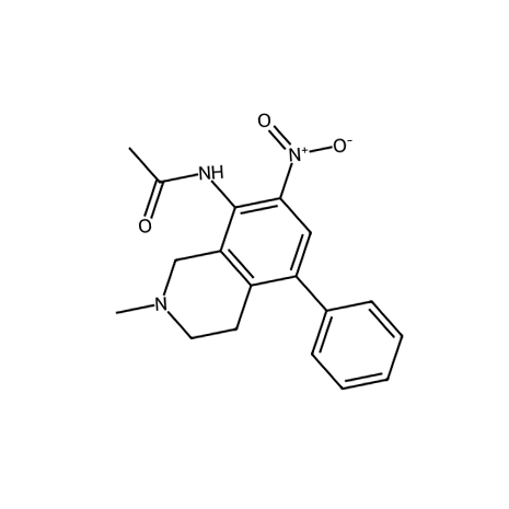 CC(=O)Nc1c([N+](=O)[O-])cc(-c2ccccc2)c2c1CN(C)CC2